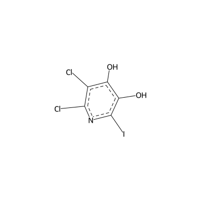 Oc1c(I)nc(Cl)c(Cl)c1O